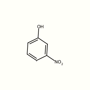 O=[N+]([O-])c1[c]ccc(O)c1